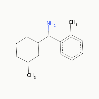 Cc1ccccc1C(N)C1CCCC(C)C1